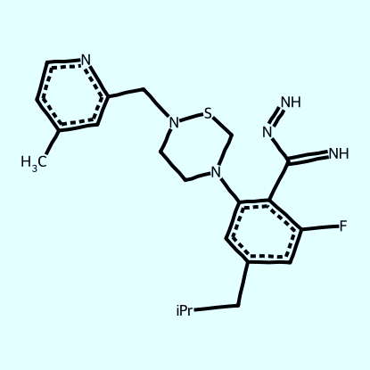 Cc1ccnc(CN2CCN(c3cc(CC(C)C)cc(F)c3C(=N)N=N)CS2)c1